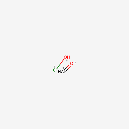 OCl.[O]=[AlH]